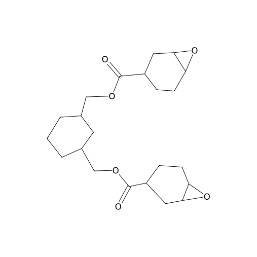 O=C(OCC1CCCC(COC(=O)C2CCC3OC3C2)C1)C1CCC2OC2C1